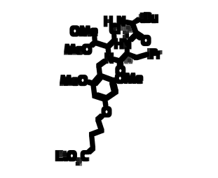 CCOC(=O)CCCCOc1cc(OC)c(CN(C(=O)[C@H](CC(C)C)NC(=O)[C@@H](N)C(C)(C)C)C(CC(F)(F)F)C(OC)OC)c(OC)c1